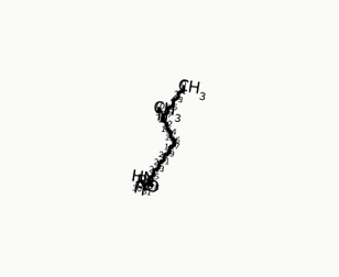 CCCCCCCCN(CC)CCCCC/C=C\CCCCCCCCNC(=O)C(F)(F)F